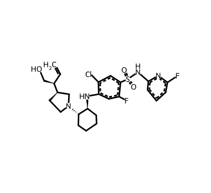 C=C[C@H](CO)[C@@H]1CCN([C@H]2CCCC[C@@H]2Nc2cc(F)c(S(=O)(=O)Nc3cccc(F)n3)cc2Cl)C1